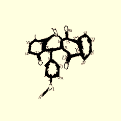 COc1ccc(C2C3=C(CCCC3=O)NC3=C2C(=O)c2ccccc2C3=O)cc1